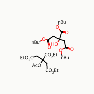 CCCCOC(=O)CC(O)(CC(=O)OCCCC)C(=O)OCCCC.CCOC(=O)CC(CC(=O)OCC)(OC(C)=O)C(=O)OCC